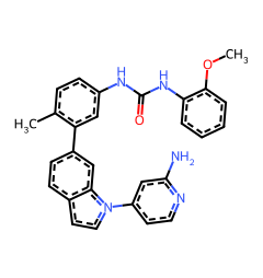 COc1ccccc1NC(=O)Nc1ccc(C)c(-c2ccc3ccn(-c4ccnc(N)c4)c3c2)c1